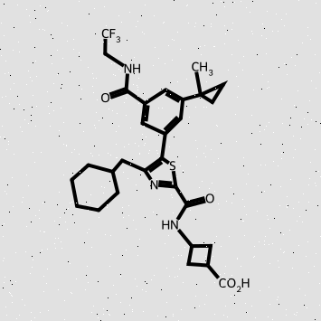 CC1(c2cc(C(=O)NCC(F)(F)F)cc(-c3sc(C(=O)NC4CC(C(=O)O)C4)nc3CC3CCCCC3)c2)CC1